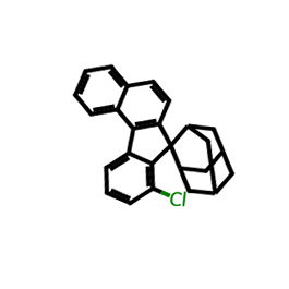 Clc1cccc2c1C1(c3ccc4ccccc4c3-2)C2CC3CC(C2)CC1C3